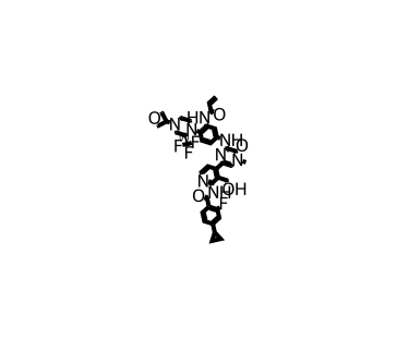 C=CC(=O)Nc1cc(Nc2nc(-c3ccnc(NC(=O)c4ccc(C5CC5)cc4F)c3CO)cn(C)c2=O)ccc1N1CCN(C2COC2)C[C@@H]1C(F)(F)F